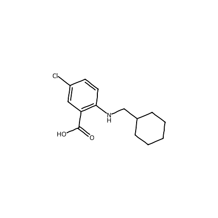 O=C(O)c1cc(Cl)ccc1NCC1CCCCC1